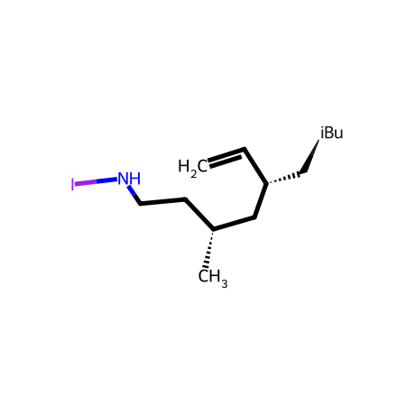 C=C[C@H](C[C@H](C)CC)C[C@H](C)CCNI